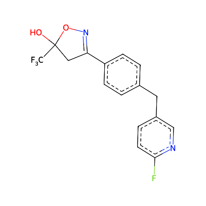 OC1(C(F)(F)F)CC(c2ccc(Cc3ccc(F)nc3)cc2)=NO1